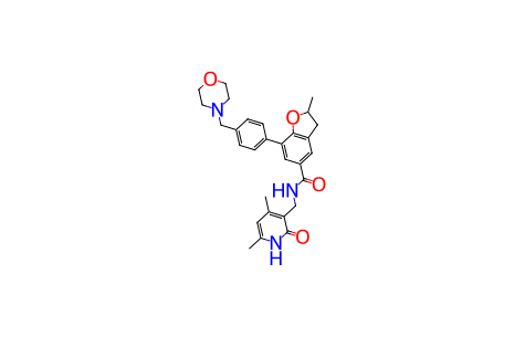 Cc1cc(C)c(CNC(=O)c2cc3c(c(-c4ccc(CN5CCOCC5)cc4)c2)OC(C)C3)c(=O)[nH]1